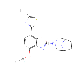 CCOC(=O)C(F)(F)Oc1ccc(-c2nc(C)cs2)c2oc(N3CC4CCC(C3)N4C(=O)O)nc12